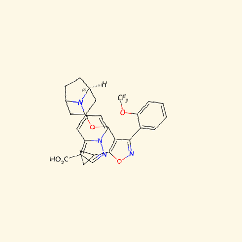 O=C(O)c1cnn2ccc(N3C4CC[C@H]3CC(OCc3c(-c5ccccc5OC(F)(F)F)noc3C3CC3)C4)cc12